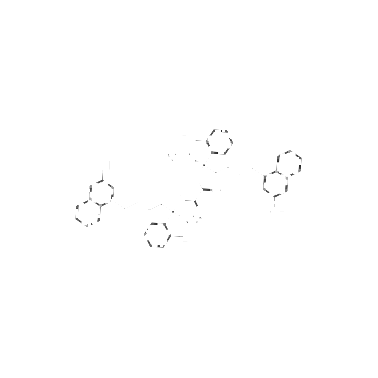 CCc1ccccc1C(CCCCc1cc(C(F)(F)F)cc2ccccc12)(NC)OC(=O)C(=O)OC(CCCCc1cc(C(F)(F)F)cc2ccccc12)(NC)c1ccccc1CC